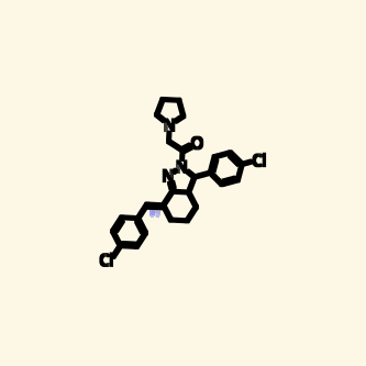 O=C(CN1CCCC1)N1N=C2/C(=C/c3ccc(Cl)cc3)CCCC2C1c1ccc(Cl)cc1